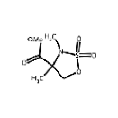 COC(=O)C1(C)COS(=O)(=O)N1C